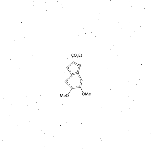 CCOC(=O)c1cc2cc(OC)c(OC)cc2s1